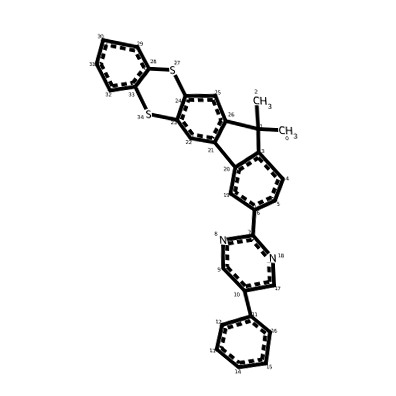 CC1(C)c2ccc(-c3ncc(-c4ccccc4)cn3)cc2-c2cc3c(cc21)Sc1ccccc1S3